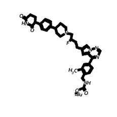 Cc1cc(-c2ncnn3cc(CCC(F)CN4CCC(c5ccc(C6CCC(=O)NC6=O)cc5)CC4)cc23)ccc1CNC(=O)OC(C)(C)C